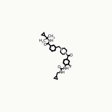 CC(C)(NC(=O)c1cccc(CN2CCN(C(=O)c3ccc(NC(=O)NCC4CC4)c(F)c3)CC2)c1)C1CC1